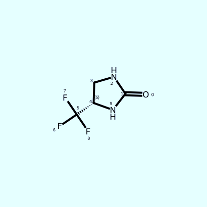 O=C1NC[C@@H](C(F)(F)F)N1